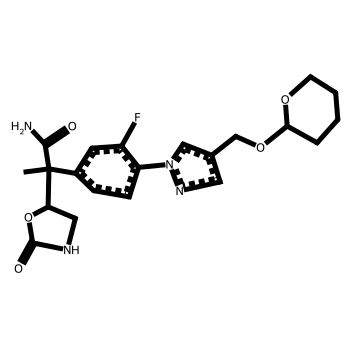 CC(C(N)=O)(c1ccc(-n2cc(COC3CCCCO3)cn2)c(F)c1)C1CNC(=O)O1